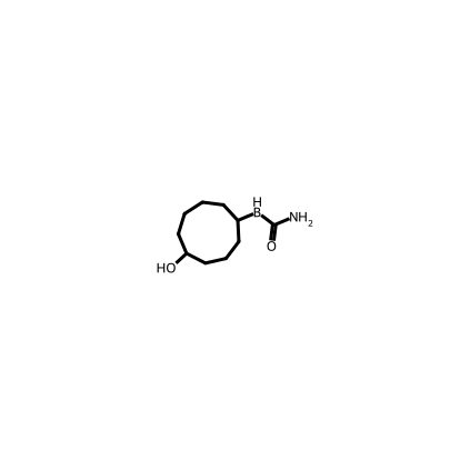 NC(=O)BC1CCCCC(O)CCC1